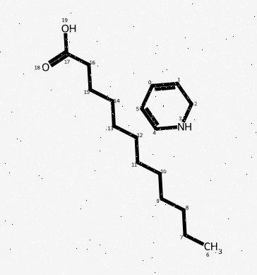 C1=CCNC=C1.CCCCCCCCCCCC(=O)O